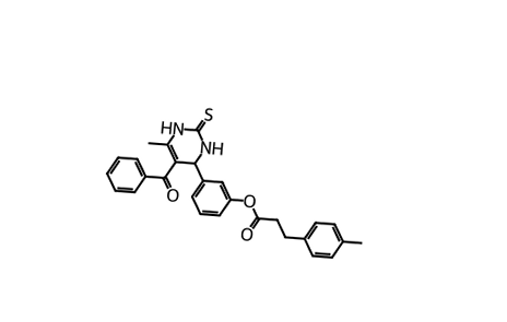 CC1=C(C(=O)c2ccccc2)C(c2cccc(OC(=O)CCc3ccc(C)cc3)c2)NC(=S)N1